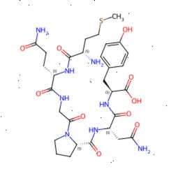 CSCC[C@H](N)C(=O)N[C@@H](CCC(N)=O)C(=O)NCC(=O)N1CCC[C@H]1C(=O)N[C@@H](CC(N)=O)C(=O)N[C@@H](Cc1ccc(O)cc1)C(=O)O